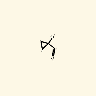 [2H]C1(C=O)CC1